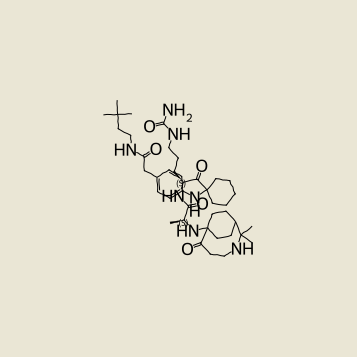 C[C@H](NC12CCC(CC1)C(C)(C)NCCC2=O)C(=O)N[C@@H](CCCNC(N)=O)C(=O)C1(Nc2ccc(CC(=O)NCCC(C)(C)C)cc2)CCCCC1